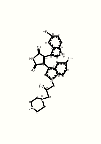 O=C1NC(=O)C(c2cn(CC(O)CN3CCOCC3)c3ccc(F)cc23)=C1c1c[nH]c2ccc(F)cc12